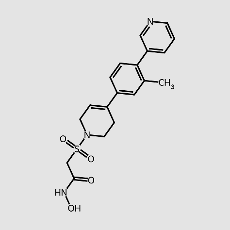 Cc1cc(C2=CCN(S(=O)(=O)CC(=O)NO)CC2)ccc1-c1cccnc1